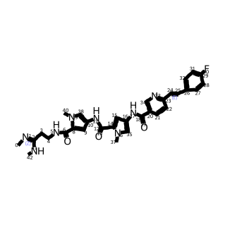 C/N=C(/CCNC(=O)c1cc(NC(=O)c2cc(NC(=O)c3ccc(/C=C/c4ccc(F)cc4)nc3)cn2C)cn1C)NC